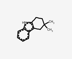 CC1(C)CCc2[nH]c3ccccc3c2C1